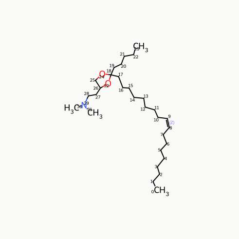 CCCCCCCC/C=C\CCCCCCCCC1(CCCCC)OCC(CCN(C)C)O1